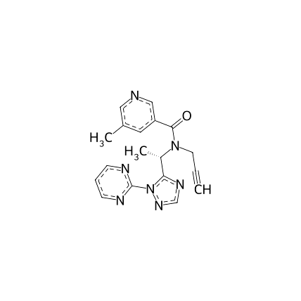 C#CCN(C(=O)c1cncc(C)c1)[C@@H](C)c1ncnn1-c1ncccn1